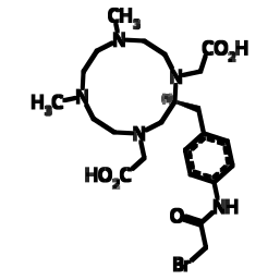 CN1CCN(C)CCN(CC(=O)O)[C@@H](Cc2ccc(NC(=O)CBr)cc2)CN(CC(=O)O)CC1